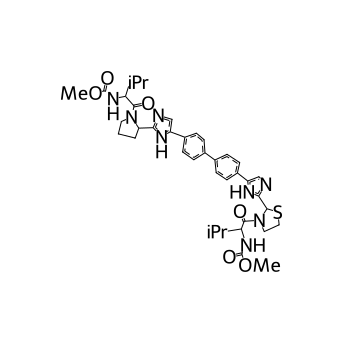 COC(=O)NC(C(=O)N1CCCC1c1ncc(-c2ccc(-c3ccc(-c4cnc(C5SCCN5C(=O)C(NC(=O)OC)C(C)C)[nH]4)cc3)cc2)[nH]1)C(C)C